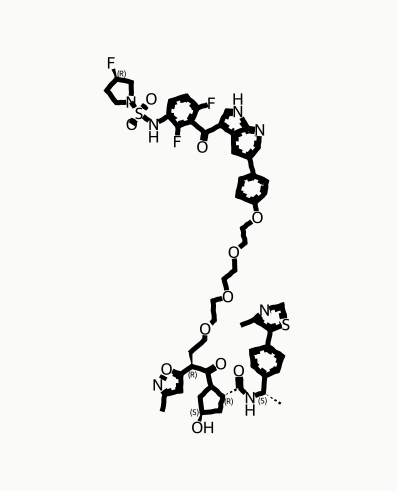 Cc1cc([C@@H](CCOCCOCCOCCOc2ccc(-c3cnc4[nH]cc(C(=O)c5c(F)ccc(NS(=O)(=O)N6CC[C@@H](F)C6)c5F)c4c3)cc2)C(=O)C2C[C@H](O)C[C@H]2C(=O)N[C@@H](C)c2ccc(-c3scnc3C)cc2)on1